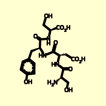 N[C@@H](CO)C(=O)N[C@@H](CC(=O)O)C(=O)N[C@@H](Cc1ccc(O)cc1)C(=O)N[C@@H](CO)C(=O)O